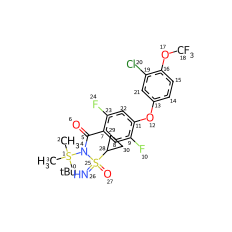 CC(C)(C)S(C)(C)N(C(=O)c1cc(F)c(Oc2ccc(OC(F)(F)F)c(Cl)c2)cc1F)S(=N)(=O)C1CC1